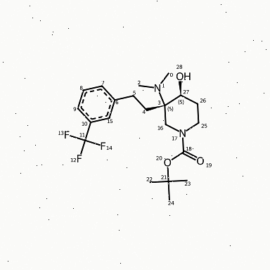 CN(C)[C@@]1(CCc2cccc(C(F)(F)F)c2)CN(C(=O)OC(C)(C)C)CC[C@@H]1O